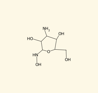 NC1C(O)C(CO)OC(NO)C1O